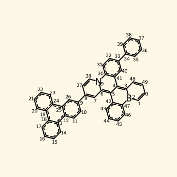 C1=CB2C(=C3C(=C4C=C(c5ccc6c7ccccc7c7ccccc7c6c5)C=CN4c4ccc(-c5ccccc5)cc43)c3ccccc32)C=C1